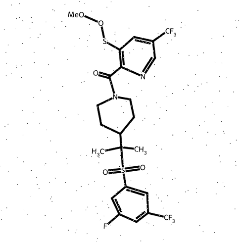 COOSc1cc(C(F)(F)F)cnc1C(=O)N1CCC(C(C)(C)S(=O)(=O)c2cc(F)cc(C(F)(F)F)c2)CC1